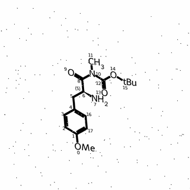 COc1ccc(C[C@H](N)C(=O)N(C)C(=O)OC(C)(C)C)cc1